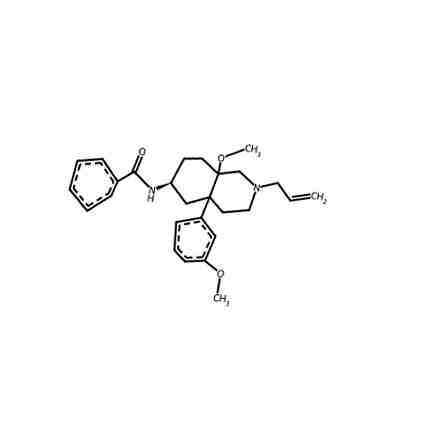 C=CCN1CCC2(c3cccc(OC)c3)C[C@@H](NC(=O)c3ccccc3)CCC2(OC)C1